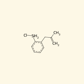 C=C(C)Cc1ccccc1[SiH2]Cl